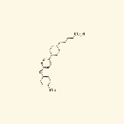 CC(C)(C)C1CCC(Oc2ccc(C3CCN(CCCCC(=O)O)CC3)cc2)CC1